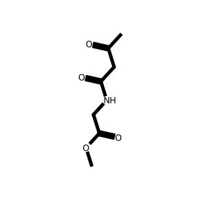 COC(=O)CNC(=O)CC(C)=O